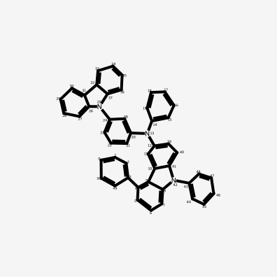 c1ccc(-c2cccc3c2c2cc(N(c4ccccc4)c4cccc(-n5c6ccccc6c6ccccc65)c4)ccc2n3-c2ccccc2)cc1